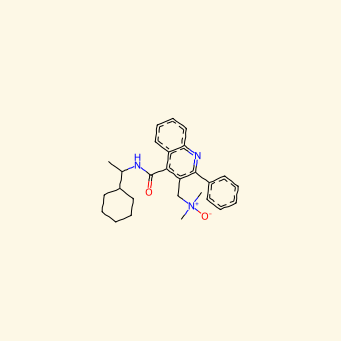 CC(NC(=O)c1c(C[N+](C)(C)[O-])c(-c2ccccc2)nc2ccccc12)C1CCCCC1